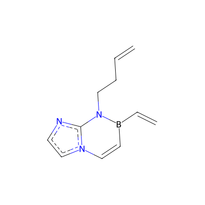 C=CCCN1B(C=C)C=Cn2ccnc21